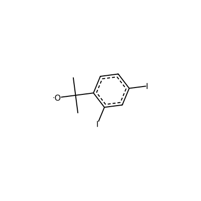 CC(C)([O])c1ccc(I)cc1I